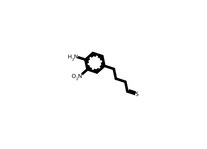 Nc1ccc(CCCC=S)cc1[N+](=O)[O-]